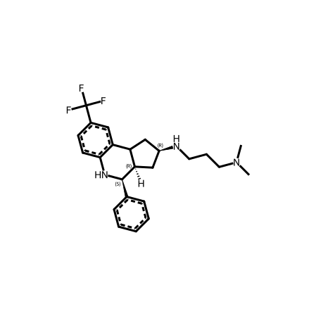 CN(C)CCCN[C@@H]1CC2c3cc(C(F)(F)F)ccc3N[C@H](c3ccccc3)[C@@H]2C1